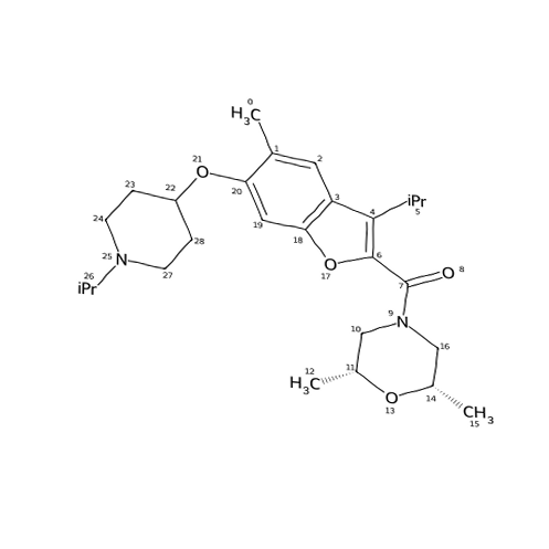 Cc1cc2c(C(C)C)c(C(=O)N3C[C@@H](C)O[C@@H](C)C3)oc2cc1OC1CCN(C(C)C)CC1